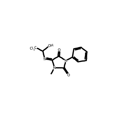 CN1C(=O)N(c2ccccc2)C(=O)C1=NC(O)C(Cl)(Cl)Cl